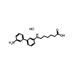 Cl.Nc1cccc(-c2cccc(NCCCCCC(=O)O)c2)c1